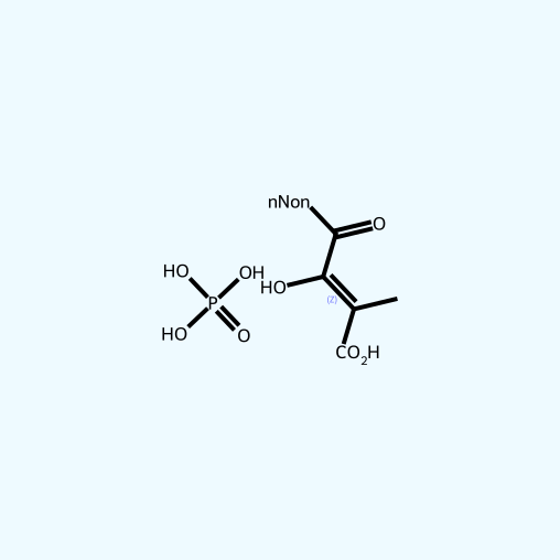 CCCCCCCCCC(=O)/C(O)=C(\C)C(=O)O.O=P(O)(O)O